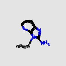 CCCCCn1c(N)nc2cccnc21